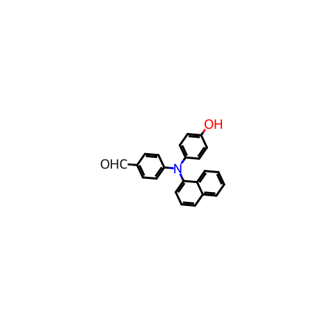 O=Cc1ccc(N(c2ccc(O)cc2)c2cccc3ccccc23)cc1